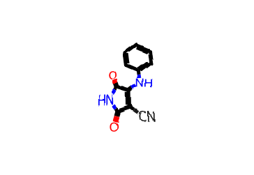 N#CC1=C(Nc2ccccc2)C(=O)NC1=O